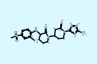 CS(=O)(=O)c1ccc(NC2CCCN(C3CCN(c4noc(C(F)(F)F)n4)C(=O)C3)C2=O)c(F)c1